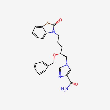 NC(=O)c1cn(C[C@H](CCCn2c(=O)sc3ccccc32)OCc2ccccc2)cn1